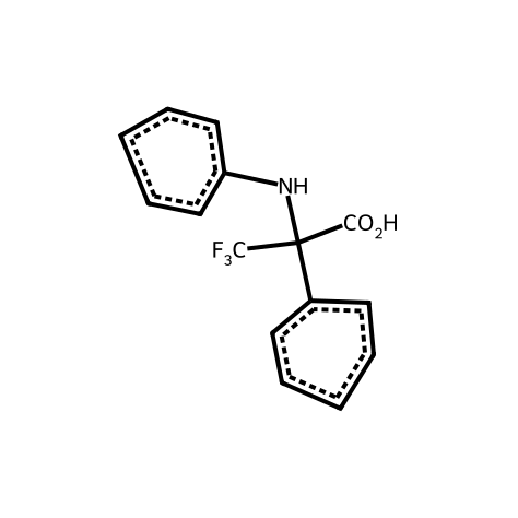 O=C(O)C(Nc1ccccc1)(c1ccccc1)C(F)(F)F